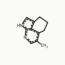 Cc1cnc2[nH]cc3c2c1CCC3